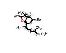 CCCC1Oc2c(\C(C)=C/C=C/C(C)=C/C(=O)O)cc(C(C)(C)C)cc2C1(C)C